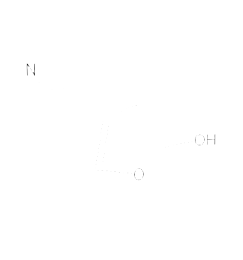 N#Cc1coc(O)c1